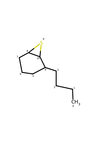 CCCCC1CCCC2SC12